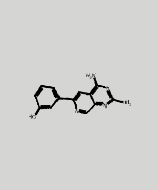 Nc1nc(N)c2cc(-c3cccc(O)c3)ncc2n1